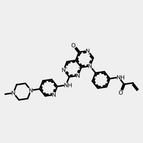 C=CC(=O)Nc1cccc(-n2cnc(=O)c3cnc(Nc4ccc(N5CCN(C)CC5)cn4)nc32)c1